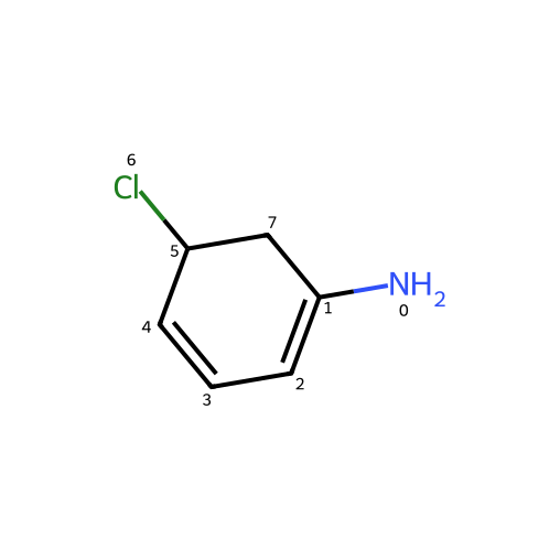 NC1=CC=CC(Cl)C1